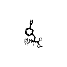 COC(=O)[C@@](C)(N)Cc1cccc(C#N)c1.Cl